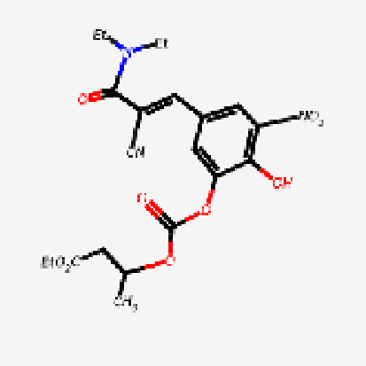 CCOC(=O)CC(C)OC(=O)Oc1cc(/C=C(\C#N)C(=O)N(CC)CC)cc([N+](=O)[O-])c1O